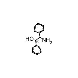 NC(c1ccccc1)[C@H](O)c1ccccc1